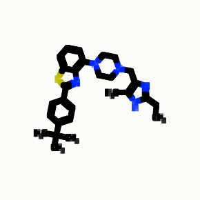 CCc1nc(CN2CCN(c3cccc4sc(-c5ccc(C(C)(C)C)cc5)nc34)CC2)c(C)[nH]1